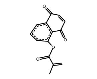 C=C(C)C(=O)Oc1cccc2c1C(=O)C=CC2=O